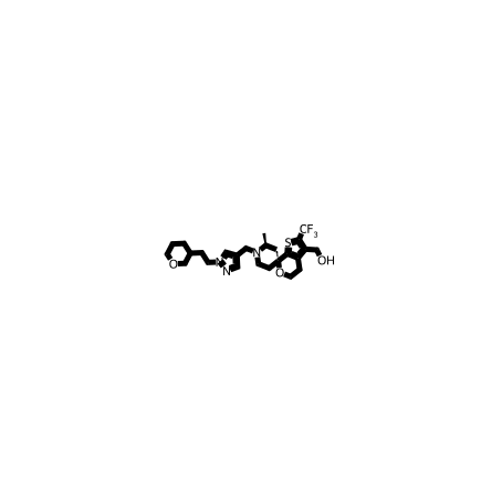 C[C@H]1C[C@@]2(CCN1Cc1cnn(CCC3CCCOC3)c1)OCCc1c2sc(C(F)(F)F)c1CO